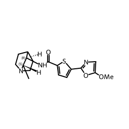 COc1cnc(-c2ccc(C(=O)N[C@@H]3C4CCN(CC4)[C@H]3C)s2)o1